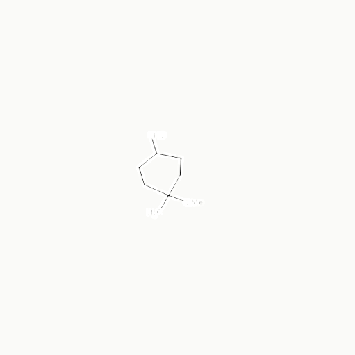 COC1(C)CCC(C=O)CC1